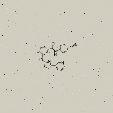 Cc1ccc(C(=O)Nc2ccc(C#N)cc2)cc1NC1=NC(c2cccnc2)CS1